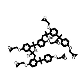 CCCCC(C)(Cc1cc(C(C)(C)c2ccc(OCC3CO3)cc2C(CC)(CC)Cc2cc(OCC3CO3)ccc2C(C)(C)c2ccc(OCC3CO3)cc2)ccc1OCC1CO1)c1cc(C(C)(C)c2ccc(OCC3CO3)cc2)ccc1OCC1CO1